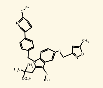 CCOc1ccc(-c2ccc(Cn3c(CC(C)(C)C(=O)O)c(SC(C)(C)C)c4cc(OCc5cc(C)on5)ccc43)cc2)cn1